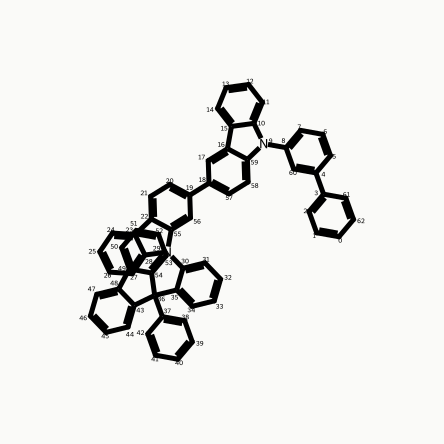 c1ccc(-c2cccc(-n3c4ccccc4c4cc(-c5ccc6c7ccccc7n(-c7ccccc7C7(c8ccccc8)c8ccccc8-c8ccccc87)c6c5)ccc43)c2)cc1